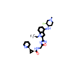 CN1CC[C@@H](Nc2cccc3c2cc(-c2noc(CNC(=O)[C@@H]4C[C@H]4c4ccccn4)n2)n3CC(F)(F)F)[C@@H](F)C1